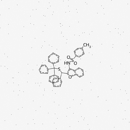 Cc1ccc(S(=O)(=O)Nc2c(C(SC(c3ccccc3)(c3ccccc3)c3ccccc3)c3ccccc3)oc3ccccc23)cc1